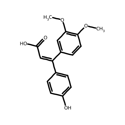 COc1ccc(/C(=C\C(=O)O)c2ccc(O)cc2)cc1OC